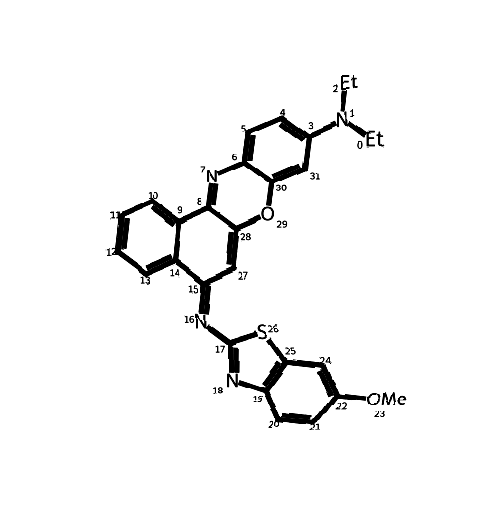 CCN(CC)c1ccc2nc3c4ccccc4c(=Nc4nc5ccc(OC)cc5s4)cc-3oc2c1